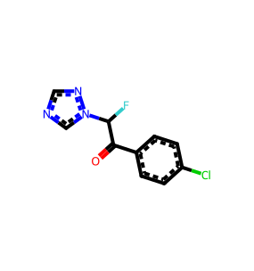 O=C(c1ccc(Cl)cc1)C(F)n1cncn1